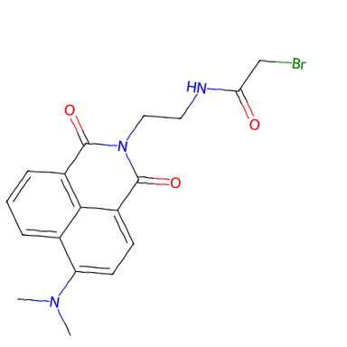 CN(C)c1ccc2c3c(cccc13)C(=O)N(CCNC(=O)CBr)C2=O